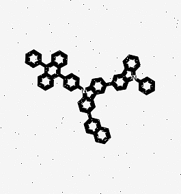 c1ccc(-c2c3ccccc3c(-c3ccc(-n4c5ccc(-c6ccc7ccccc7c6)cc5c5cc(-c6ccc7c(c6)c6ccccc6n7-c6ccccc6)ccc54)cc3)c3ccccc23)cc1